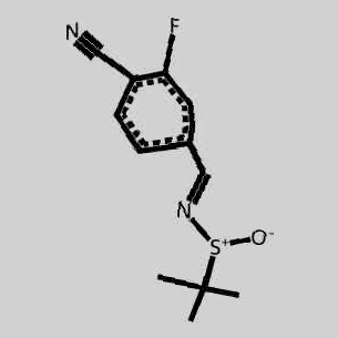 CC(C)(C)[S+]([O-])N=Cc1ccc(C#N)c(F)c1